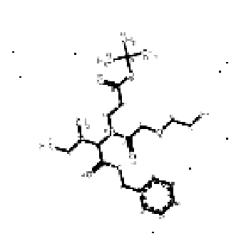 CCC(C)C(C(=O)OCc1ccccc1)N(CCC(=O)OC(C)(C)C)C(=O)COCCF